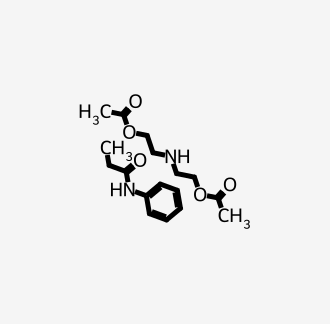 CC(=O)OCCNCCOC(C)=O.CCC(=O)Nc1ccccc1